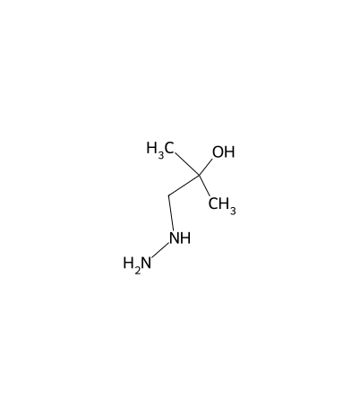 CC(C)(O)CNN